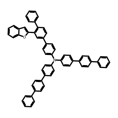 c1ccc(-c2ccc(-c3ccc(N(c4ccc(-c5ccc(-c6ccccc6)cc5)cc4)c4ccc(-c5ccc(-c6ccccc6)c(-c6cc7ccccc7o6)c5)cc4)cc3)cc2)cc1